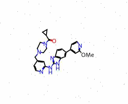 COc1cc(-c2ccc3nc(Nc4cc(CN5CCN(C(=O)C6CC6)CC5)ccn4)[nH]c3c2)ccn1